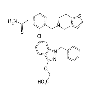 CC(N)=S.Clc1ccccc1CN1CCc2sccc2C1.O=C(O)COc1nn(Cc2ccccc2)c2ccccc12